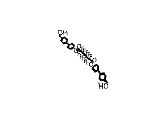 O=C(Oc1ccc(-c2ccc(CO)cc2)cc1)C(F)(F)C(F)(F)C(F)(F)C(F)(F)C(F)(F)C(=O)Oc1ccc(-c2ccc(CO)cc2)cc1